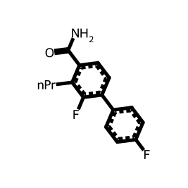 CCCc1c(C(N)=O)ccc(-c2ccc(F)cc2)c1F